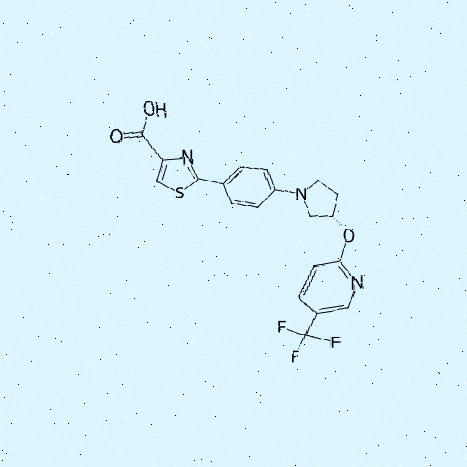 O=C(O)c1csc(-c2ccc(N3CC[C@H](Oc4ccc(C(F)(F)F)cn4)C3)cc2)n1